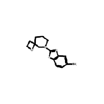 Nc1ccc2oc(N3CCCC4(CCO4)C3)nc2c1